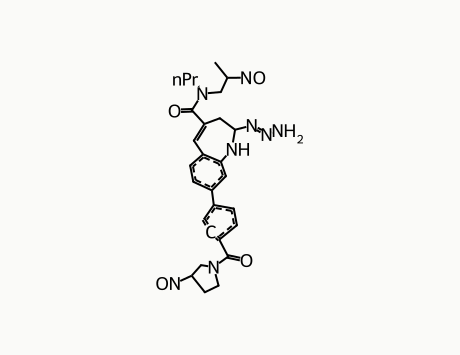 CCCN(CC(C)N=O)C(=O)C1=Cc2ccc(-c3ccc(C(=O)N4CCC(N=O)C4)cc3)cc2NC(N=NN)C1